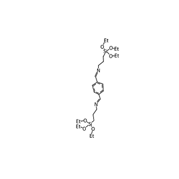 CCO[Si](CCC/N=C/c1ccc(/C=N/CCC[Si](OCC)(OCC)OCC)cc1)(OCC)OCC